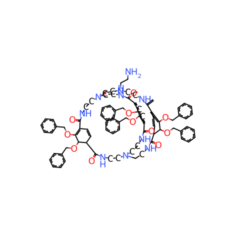 C=C1NCCN(CCN)CCN2CCNC(=O)C3=C(OCc4ccccc4)C(OCc4ccccc4)C(C=C3)C(=O)NCCN(CCNC(=O)c3ccc(c(OCc4ccccc4)c3OCc3ccccc3)C(=O)NCC2)CCNC(=O)C2C=CC1=C(OCc1ccccc1)C2OCc1ccccc1